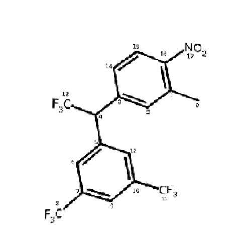 Cc1cc(C(c2cc(C(F)(F)F)cc(C(F)(F)F)c2)C(F)(F)F)ccc1[N+](=O)[O-]